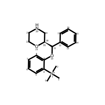 C[N+](C)(C)c1ccccc1OC(c1ccccc1)[C@@H]1CNCCO1